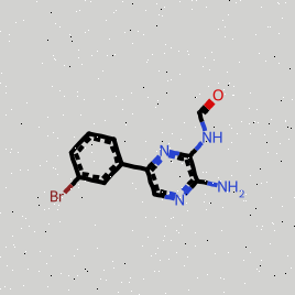 Nc1ncc(-c2cccc(Br)c2)nc1NC=O